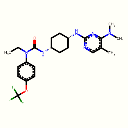 CCN(C(=O)N[C@H]1CC[C@@H](Nc2ncc(C)c(N(C)C)n2)CC1)c1ccc(OC(F)(F)F)cc1